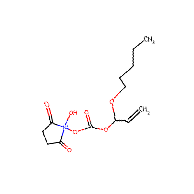 C=CC(OCCCCC)OC(=O)O[N+]1(O)C(=O)CCC1=O